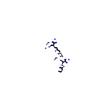 CC(=O)N1Cc2c(-c3[nH]c4ncc(CC5(C)CN(C(=O)CO)Cc6c(-c7[nH]c8ncccc8c7Cl)c7c(N)ncnc7n65)cc4c3Cl)c3c(N)ncnc3n2C(C)(C)C1